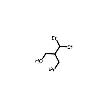 CCC(CC)C(CO)CC(C)C